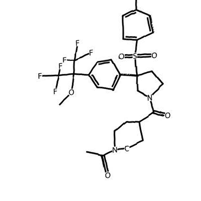 COC(c1ccc(C2(S(=O)(=O)c3ccc(F)cc3)CCN(C(=O)C3CCN(C(C)=O)CC3)C2)cc1)(C(F)(F)F)C(F)(F)F